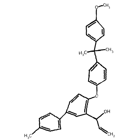 C=CC(O)c1cc(-c2ccc(C)cc2)ccc1Oc1ccc(C(C)(C)c2ccc(OC)cc2)cc1